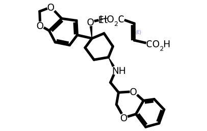 CCO[C@]1(c2ccc3c(c2)OCO3)CC[C@H](NCC2COc3ccccc3O2)CC1.O=C(O)/C=C/C(=O)O